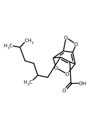 CC(C)CCC(C)Cc1c(C(=O)O)c2c3ooc3c1OO2